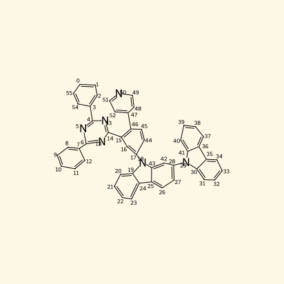 c1ccc(-c2nc(-c3ccccc3)nc(-c3cc(-n4c5ccccc5c5ccc(-n6c7ccccc7c7ccccc76)cc54)ccc3-c3ccncc3)n2)cc1